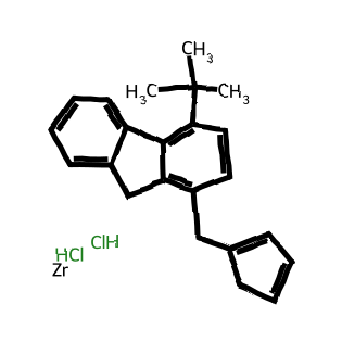 CC(C)(C)c1ccc(CC2=CC=CC2)c2c1-c1ccccc1C2.Cl.Cl.[Zr]